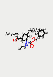 C=CCN(C(=O)OCc1ccccc1)c1cc(COC)cc(C(=O)OC)c1